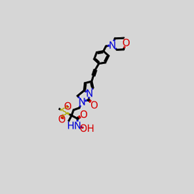 CC(CCN1Cc2cc(C#Cc3ccc(CN4CCOCC4)cc3)cn2C1=O)(C(=O)NO)S(C)(=O)=O